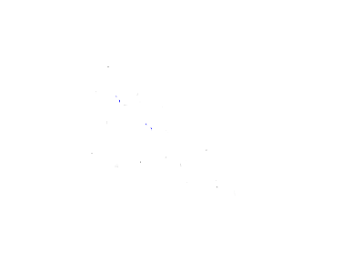 CN(C(=O)Cc1ccc(Cl)c(Cl)c1)[C@@H]1CCCC[C@@H]1N1CCCC1